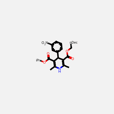 CCCCCCCCCCCOC(=O)C1=C(C)NC(C)=C(C(=O)OC(C)C)C1c1cccc([N+](=O)[O-])c1